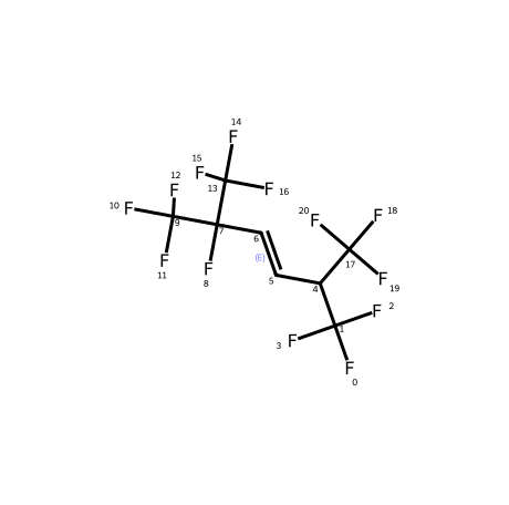 FC(F)(F)C(/C=C/C(F)(C(F)(F)F)C(F)(F)F)C(F)(F)F